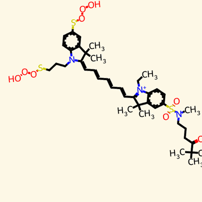 CC[N+]1=C(/C=C/C=C/C=C/C=C2/N(CCCSOOO)c3ccc(SOOO)cc3C2(C)C)C(C)(C)c2cc(S(=O)(=O)N(C)CCCC(=O)C(C)(C)C)ccc21